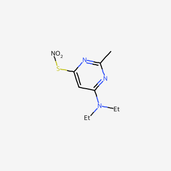 CCN(CC)c1cc(S[N+](=O)[O-])nc(C)n1